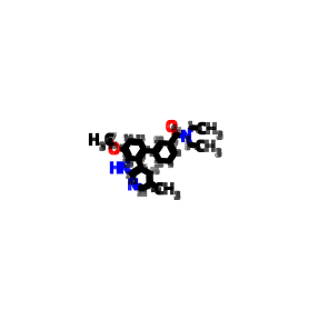 CCN(CC)C(=O)C1=CCCC(c2ccc(OC)c3[nH]c4ncc(C)cc4c23)=C1